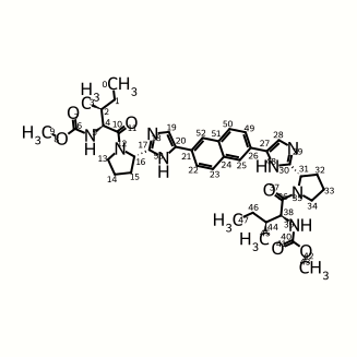 CC[C@H](C)[C@H](NC(=O)OC)C(=O)N1CCC[C@H]1c1ncc(-c2ccc3cc(-c4cnc([C@@H]5CCCN5C(=O)[C@@H](NC(=O)OC)[C@@H](C)CC)[nH]4)ccc3c2)[nH]1